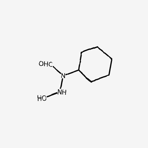 O=CN(NO)C1CCCCC1